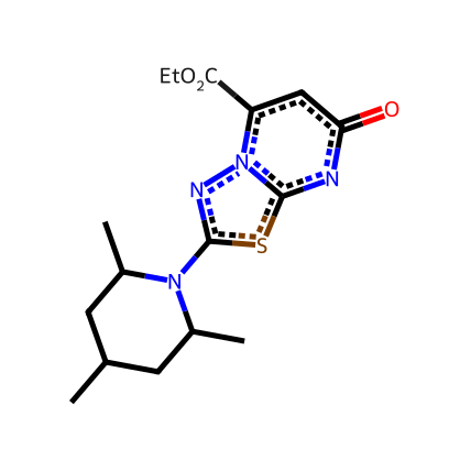 CCOC(=O)c1cc(=O)nc2sc(N3C(C)CC(C)CC3C)nn12